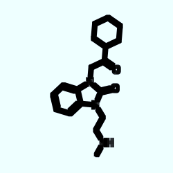 CNCCn1c(=O)n(CC(=O)C2CCCCC2)c2ccccc21